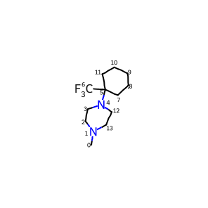 CN1CCN(C2(C(F)(F)F)C[CH]CCC2)CC1